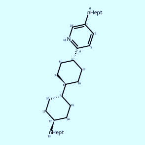 CCCCCCCc1ccc([C@H]2CC[C@H]([C@H]3CC[C@H](CCCCCCC)CC3)CC2)nc1